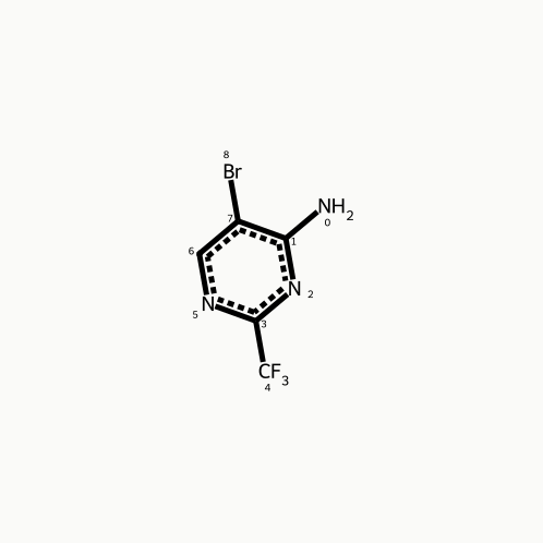 Nc1nc(C(F)(F)F)ncc1Br